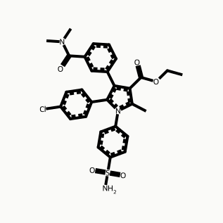 CCOC(=O)c1c(-c2cccc(C(=O)N(C)C)c2)c(-c2ccc(Cl)cc2)n(-c2ccc(S(N)(=O)=O)cc2)c1C